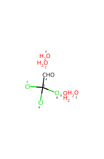 O.O.O.O.O=CC(Cl)(Cl)Cl